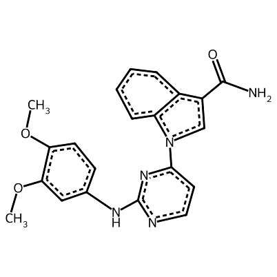 COc1ccc(Nc2nccc(-n3cc(C(N)=O)c4ccccc43)n2)cc1OC